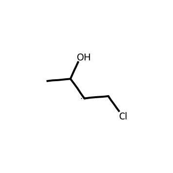 CC(O)[CH]CCl